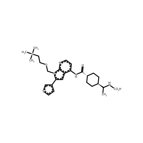 CC(NC(=O)O)[C@H]1CC[C@H](C(=O)Nc2ccnc3c2cc(-c2ccsc2)n3COCC[Si](C)(C)C)CC1